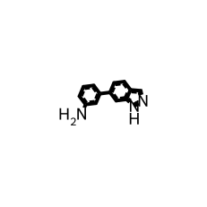 Nc1cccc(-c2ccc3cn[nH]c3c2)c1